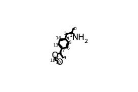 CC(N)Cc1ccc(C2COCO2)cc1